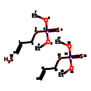 C=CCSP(=S)(OCC)OCC.C=CCSP(=S)(OCC)OCC.S